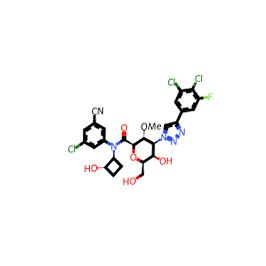 CO[C@@H]1[C@@H](n2cc(-c3cc(F)c(Cl)c(Cl)c3)nn2)[C@@H](O)[C@@H](CO)O[C@H]1C(=O)N(c1cc(Cl)cc(C#N)c1)[C@H]1CC[C@@H]1O